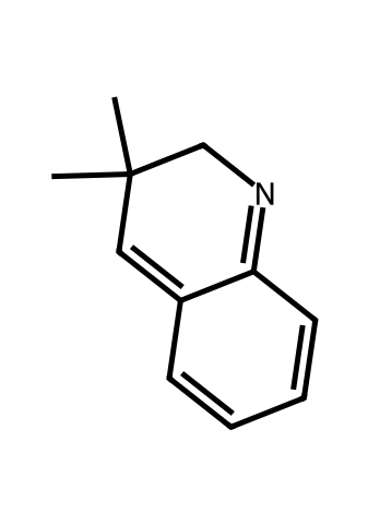 CC1(C)C=c2ccccc2=NC1